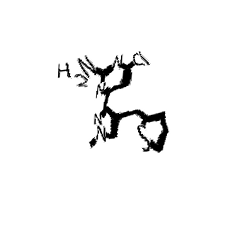 Cn1cc(Cc2cccs2)c(-c2cc(Cl)nc(N)n2)n1